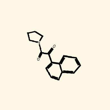 O=C(C(=O)N1CCCC1)c1cccc2ccccc12